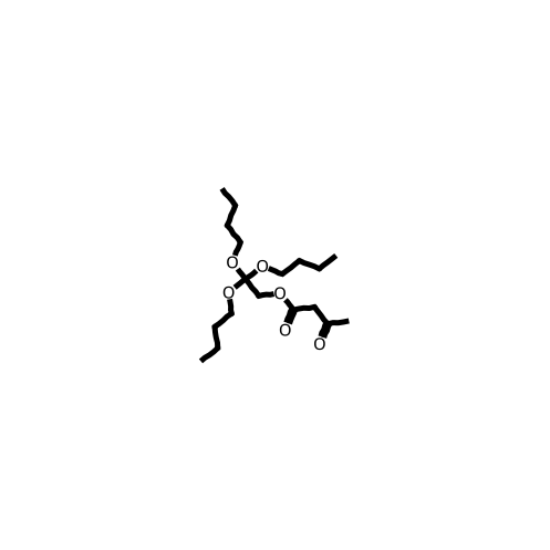 CCCCOC(COC(=O)CC(C)=O)(OCCCC)OCCCC